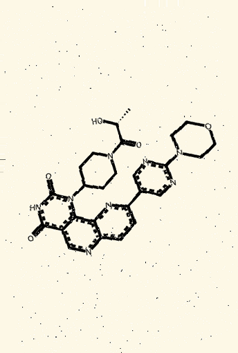 C[C@@H](O)C(=O)N1CCC(n2c(=O)[nH]c(=O)c3cnc4ccc(-c5cnc(N6CCOCC6)nc5)nc4c32)CC1